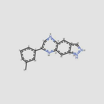 Cc1cccc(-c2cnc3cc4cn[nH]c4cc3n2)c1